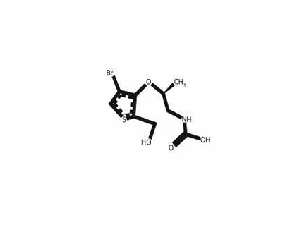 C[C@@H](CNC(=O)O)Oc1c(Br)csc1CO